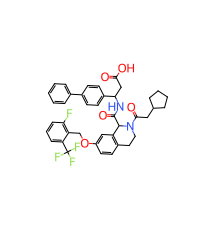 O=C(O)CC(NC(=O)C1c2cc(OCc3c(F)cccc3C(F)(F)F)ccc2CCN1C(=O)CC1CCCC1)c1ccc(-c2ccccc2)cc1